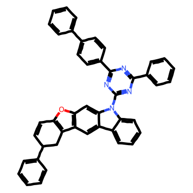 C1=CC(c2ccccc2)Cc2c1oc1cc3c(cc21)c1ccccc1n3-c1nc(-c2ccccc2)nc(-c2ccc(-c3ccccc3)cc2)n1